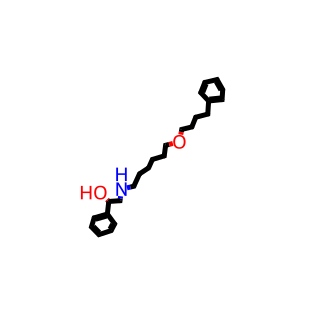 OC(CNCCCCCCOCCCCc1ccccc1)c1ccccc1